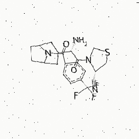 N#C[C@H]1CSCN1C(=O)[C@@H](N)C1CC2CCC(C1)N2C(=O)c1ccc(C(F)(F)F)cc1